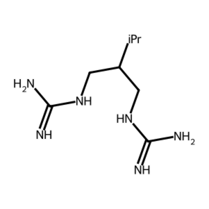 CC(C)C(CNC(=N)N)CNC(=N)N